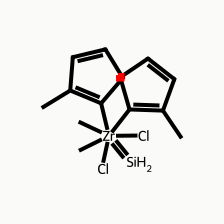 CC1=[C]([Zr]([CH3])([CH3])(=[SiH2])([Cl])([Cl])[C]2=C(C)C=CC2)CC=C1